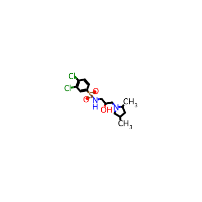 CC1CC(C)N(CC(O)CNS(=O)(=O)c2ccc(Cl)c(Cl)c2)C1